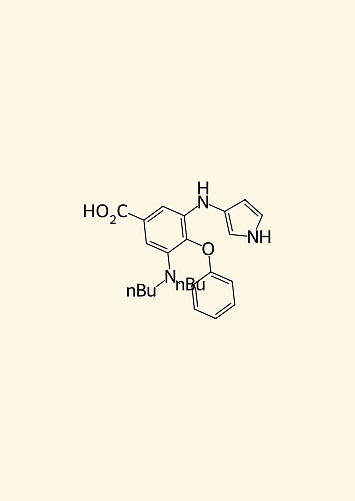 CCCCN(CCCC)c1cc(C(=O)O)cc(Nc2cc[nH]c2)c1Oc1ccccc1